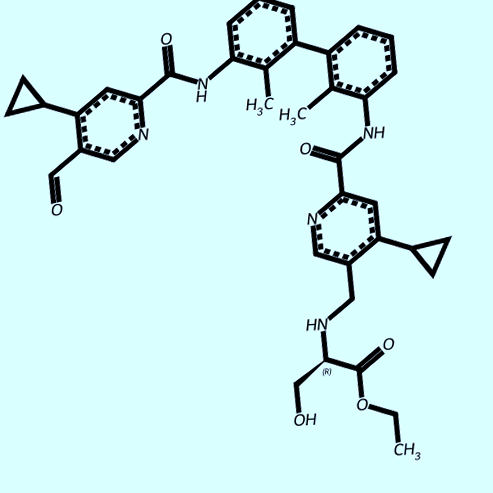 CCOC(=O)[C@@H](CO)NCc1cnc(C(=O)Nc2cccc(-c3cccc(NC(=O)c4cc(C5CC5)c(C=O)cn4)c3C)c2C)cc1C1CC1